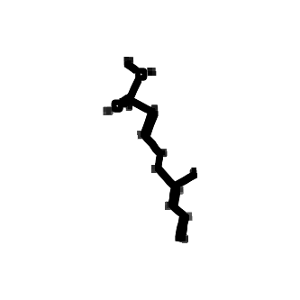 C=C/C=C(\C)CC/C=C/C(=O)OC